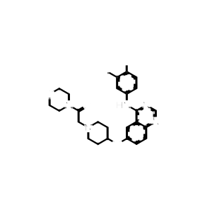 O=C(CN1CCC(Oc2ccc3ncnc(Nc4ccc(F)c(Cl)c4)c3c2)CC1)N1CCOCC1